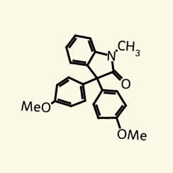 COc1ccc(C2(c3ccc(OC)cc3)C(=O)N(C)c3ccccc32)cc1